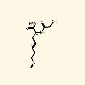 C=NCC/C=C/C[C@H](NC(=O)CO)C(=O)NC